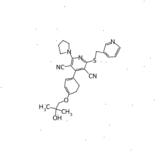 CC(C)(O)COC1=CC=C(c2c(C#N)c(SCc3cccnc3)nc(N3CCCC3)c2C#N)CC1